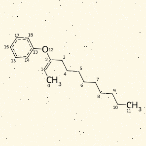 CC=C(CCCCCCCCC)Oc1ccccc1